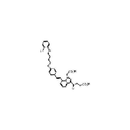 O=C(O)CCC(=O)c1cn(CC(=O)O)c2c(/C=C/c3ccc(OCCCCOc4ccccc4Cl)cc3)cccc12